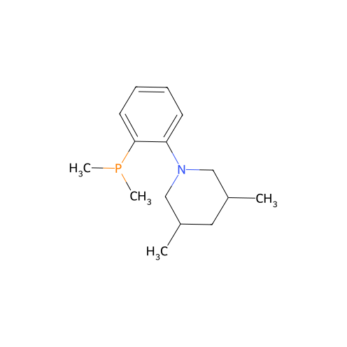 CC1CC(C)CN(c2ccccc2P(C)C)C1